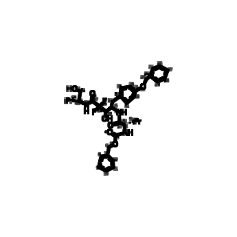 CC(C)[C@H](NC(=O)OCc1ccccc1)C(=O)NC(Cc1ccc(OCc2ccccc2)cc1)C(O)C(F)(F)C(=O)N[C@H](CO)C(C)C